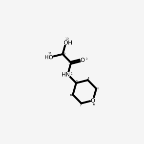 O=C(NC1CCOCC1)C(O)O